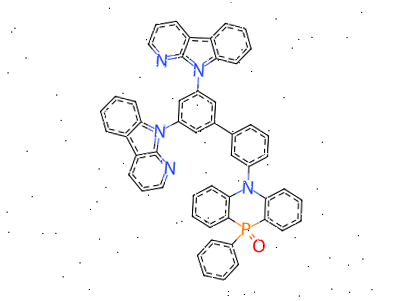 O=P1(c2ccccc2)c2ccccc2N(c2cccc(-c3cc(-n4c5ccccc5c5cccnc54)cc(-n4c5ccccc5c5cccnc54)c3)c2)c2ccccc21